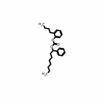 CCCCCCCC(OC(=O)Oc1ccccc1CCCC)c1ccccc1